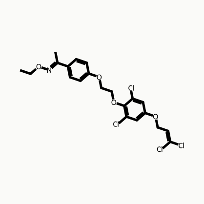 CCON=C(C)c1ccc(OCCOc2c(Cl)cc(OCC=C(Cl)Cl)cc2Cl)cc1